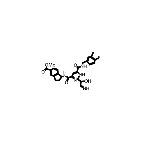 COC(=O)c1ccc2c(c1)CC[C@@H]2NC(=O)C1=NC(C(O)C=N)NC(C(=O)NCc2ccc(F)c(C)c2)=C1